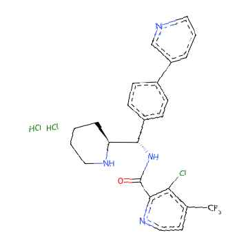 Cl.Cl.O=C(N[C@@H](c1ccc(-c2cccnc2)cc1)[C@@H]1CCCCN1)c1nccc(C(F)(F)F)c1Cl